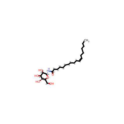 CCCCCC/C=C\CCCCCCCCCC(=O)N[C@@H]1OC(CO)[C@@H](O)C(O)C1O